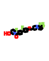 O=C(c1ccc(-c2ccc(OCC3CCN(CC4(C(F)(F)F)CCC4)CC3)cc2F)cc1F)N1CCC[C@@H](O)C1